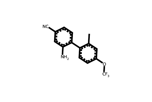 Cc1cc(OC(F)(F)F)ccc1-c1ccc(C#N)cc1N